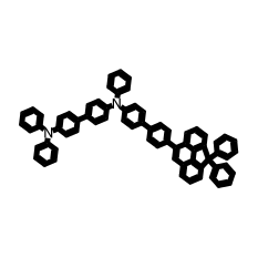 c1ccc(N(c2ccccc2)c2ccc(-c3ccc(N(c4ccccc4)c4ccc(-c5ccc(-c6cc7cccc8c7c7c(cccc67)C8(c6ccccc6)c6ccccc6)cc5)cc4)cc3)cc2)cc1